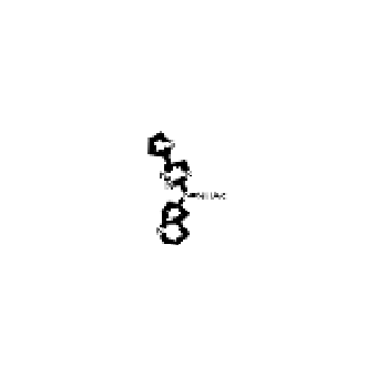 CC(=O)NN(c1ccc2ncccc2c1)c1ncc(-c2cccs2)nn1